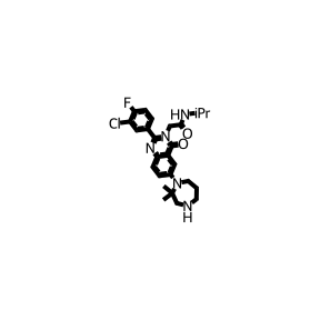 CC(C)NC(=O)Cn1c(-c2ccc(F)c(Cl)c2)nc2ccc(N3CCCNCC3(C)C)cc2c1=O